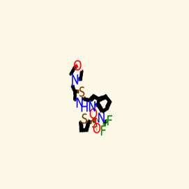 O=S(=O)(c1cccs1)N(c1cccc2cc(C3=NCC(CN4CCOCC4)S3)[nH]c12)C(F)F